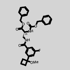 COC1(c2cc(F)cc(C(=O)NC[C@@H](NC(=O)OCc3ccccc3)C(=O)OCc3ccccc3)c2)CCC1